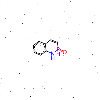 O=[PH]1C=Cc2ccccc2N1